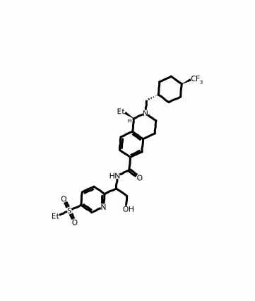 CC[C@@H]1c2ccc(C(=O)NC(CO)c3ccc(S(=O)(=O)CC)cn3)cc2CCN1C[C@H]1CC[C@H](C(F)(F)F)CC1